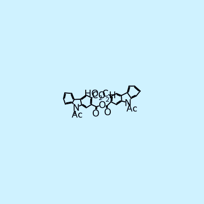 CC(=O)n1c2ccccc2c2cc(C(=O)O)c(C(=O)OC(=O)c3cc4c(cc3C(=O)O)c3ccccc3n4C(C)=O)cc21